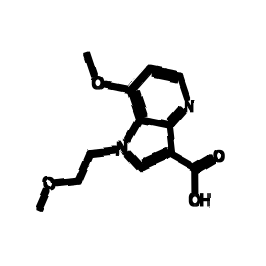 COCCn1cc(C(=O)O)c2nccc(OC)c21